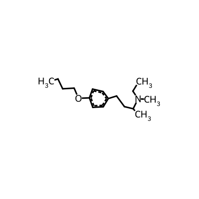 CCCCOc1ccc(CCC(C)N(C)CC)cc1